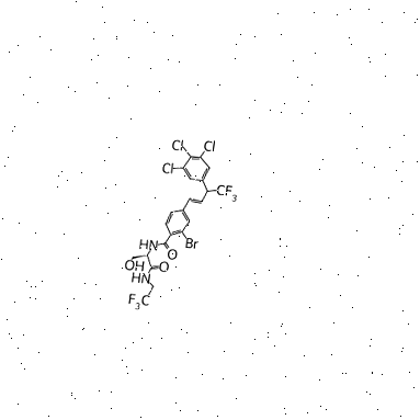 O=C(N[C@H](CO)C(=O)NCC(F)(F)F)c1ccc(/C=C/C(c2cc(Cl)c(Cl)c(Cl)c2)C(F)(F)F)cc1Br